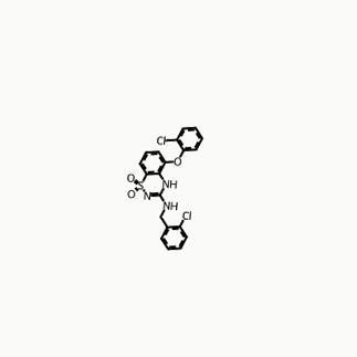 O=S1(=O)N=C(NCc2ccccc2Cl)Nc2c(Oc3ccccc3Cl)cccc21